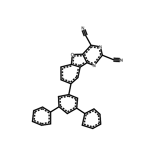 N#Cc1nc(C#N)c2oc3ccc(-c4cc(-c5ccccc5)cc(-c5ccccc5)c4)cc3c2n1